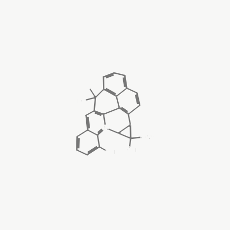 COC1(O)C2c3ccc4cccc5c4c3-c3c(cc4cccc(C)c4[n+]3C21)C5(C)C